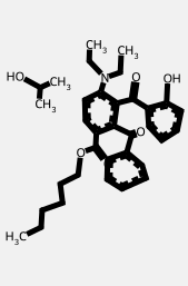 CC(C)O.CCCCCCOC(=O)c1ccc(N(CC)CC)c(C(=O)c2ccccc2O)c1C(=O)c1ccccc1